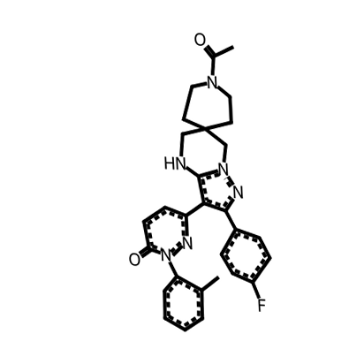 CC(=O)N1CCC2(CC1)CNc1c(-c3ccc(=O)n(-c4ccccc4C)n3)c(-c3ccc(F)cc3)nn1C2